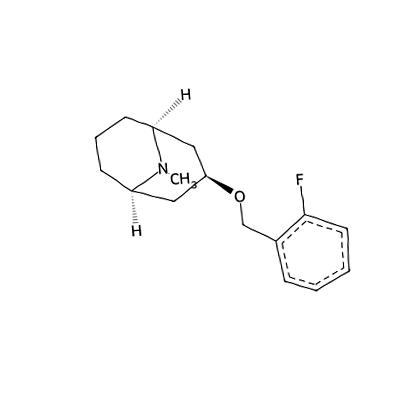 CN1[C@@H]2CCC[C@H]1C[C@@H](OCc1ccccc1F)C2